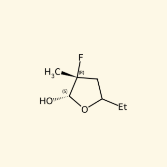 CCC1C[C@@](C)(F)[C@@H](O)O1